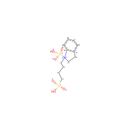 O=S(=O)(O)CCCC[N+]1(S(=O)(=O)O)CCc2ccccc21